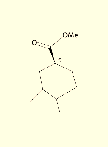 COC(=O)[C@H]1CCC(C)C(C)C1